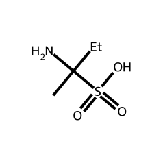 CCC(C)(N)S(=O)(=O)O